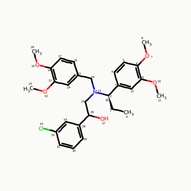 C[CH][C@H](c1ccc(OC)c(OC)c1)N(Cc1ccc(OC)c(OC)c1)CC(O)c1cccc(Cl)c1